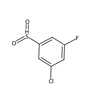 O=[SH](=O)c1cc(F)cc(Cl)c1